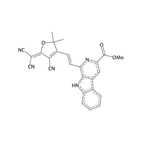 COC(=O)c1cc2c([nH]c3ccccc32)c(/C=C/C2=C(C#N)C(=C(C#N)C#N)OC2(C)C)n1